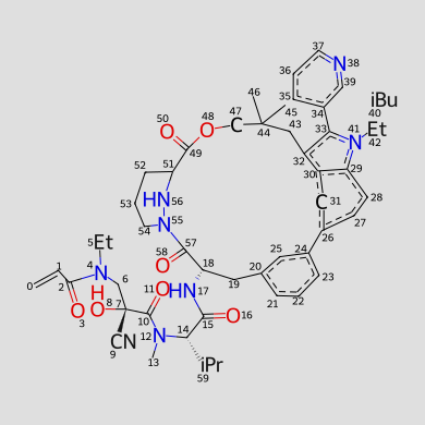 C=CC(=O)N(CC)C[C@](O)(C#N)C(=O)N(C)[C@H](C(=O)N[C@H]1Cc2cccc(c2)-c2ccc3c(c2)c(c(-c2cccnc2[C@H](C)CC)n3CC)CC(C)(C)COC(=O)C2CCCN(N2)C1=O)C(C)C